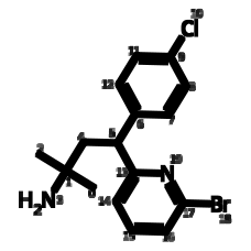 CC(C)(N)CC(c1ccc(Cl)cc1)c1cccc(Br)n1